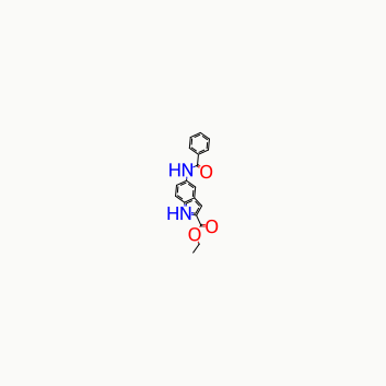 CCOC(=O)c1cc2cc(NC(=O)c3ccccc3)ccc2[nH]1